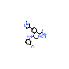 CC1=C2c3ccc(-c4cnn(C)c4)cc3C(Nc3cccc(Cl)c3)CCN2NN1